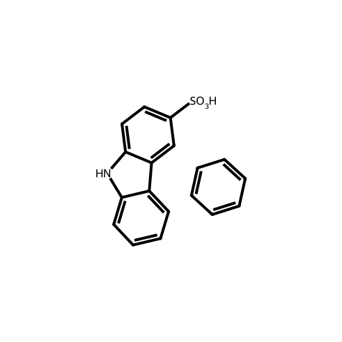 O=S(=O)(O)c1ccc2[nH]c3ccccc3c2c1.c1ccccc1